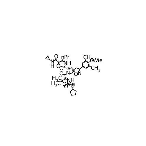 CCC[C@H](NC(=O)[C@@H]1C[C@]2(CC(c3cc(C)c(OC)c(C)c3)=NO2)CN1C(=O)[C@@H](NC(=O)OC1CCCC1)C(C)(C)OC)C(=O)C(=O)NC1CC1